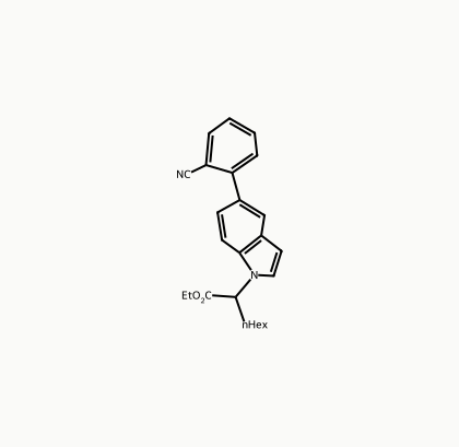 CCCCCCC(C(=O)OCC)n1ccc2cc(-c3ccccc3C#N)ccc21